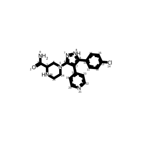 NC(=O)C1CN(c2n[nH]c(-c3ccc(Cl)cc3)c2-c2ccncc2)CCN1